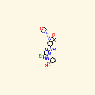 CC1(C)C(=O)N(CCN2CCOCC2)c2ccc(Nc3ncc(Br)c(Nc4ccccc4P(C)(C)=O)n3)cc21